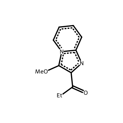 CCC(=O)c1nc2ccccn2c1OC